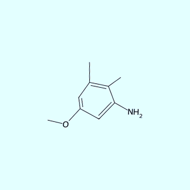 COc1cc(C)c(C)c(N)c1